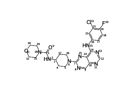 O=C(NC1CCN(c2ncc3ncnc(Nc4ccc(F)c(Cl)c4)c3n2)CC1)N1CCOCC1